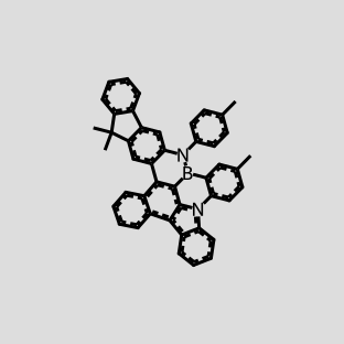 Cc1ccc(N2B3c4cc(C)ccc4-n4c5ccccc5c5c6ccccc6c(c3c54)-c3cc4c(cc32)-c2ccccc2C4(C)C)cc1